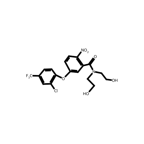 O=C(c1cc(Oc2ccc(C(F)(F)F)cc2Cl)ccc1[N+](=O)[O-])N(CCO)CCO